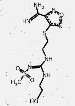 CS(=O)(=O)N=C(NCCO)NCCSc1nonc1C(=N)N